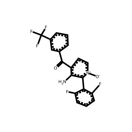 Nc1c(C(=O)c2cccc(C(F)(F)F)c2)cc[n+]([O-])c1-c1c(F)cccc1F